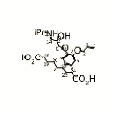 C=CCOc1ccccc1OCC(O)CNC(C)C.O=C(O)CCCCCCCC(=O)O